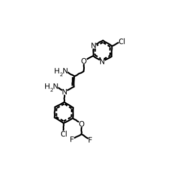 N/C(=C\N(N)c1ccc(Cl)c(OC(F)F)c1)COc1ncc(Cl)cn1